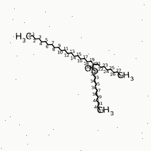 CCCCCCCCCCCCCCCCCCCCC(CCCCCCCC)C(=O)OCCCCCCCCCCCC